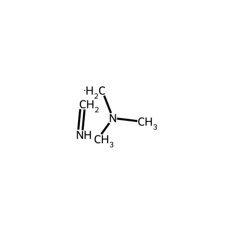 C=N.[CH2]N(C)C